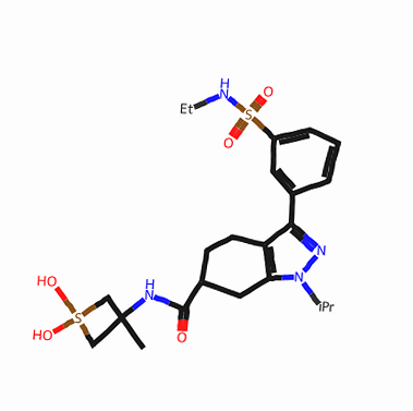 CCNS(=O)(=O)c1cccc(-c2nn(C(C)C)c3c2CCC(C(=O)NC2(C)CS(O)(O)C2)C3)c1